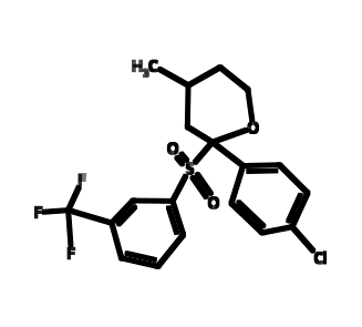 CC1CCOC(c2ccc(Cl)cc2)(S(=O)(=O)c2cccc(C(F)(F)F)c2)C1